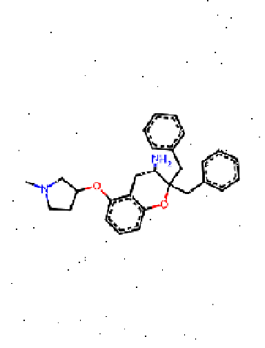 CN1CCC(Oc2cccc3c2CC(N)C(Cc2ccccc2)(Cc2ccccc2)O3)C1